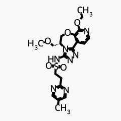 CCOc1nccc2c1OC[C@@H](COC)n1c(NS(=O)(=O)CCc3ncc(C)cn3)nnc1-2